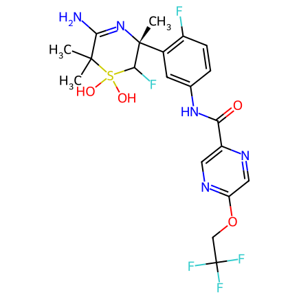 CC1(C)C(N)=N[C@](C)(c2cc(NC(=O)c3cnc(OCC(F)(F)F)cn3)ccc2F)C(F)S1(O)O